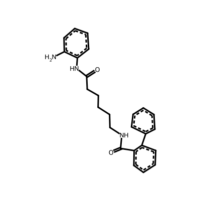 Nc1ccccc1NC(=O)CCCCCNC(=O)c1ccccc1-c1ccccc1